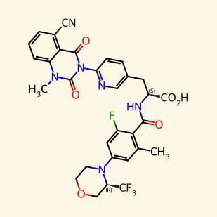 Cc1cc(N2CCOC[C@@H]2C(F)(F)F)cc(F)c1C(=O)N[C@@H](Cc1ccc(-n2c(=O)c3c(C#N)cccc3n(C)c2=O)nc1)C(=O)O